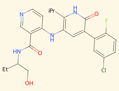 CCC(CO)NC(=O)c1cnccc1Nc1cc(-c2cc(Cl)ccc2F)c(=O)[nH]c1C(C)C